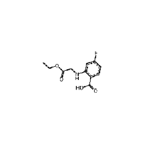 CCOC(=O)CNc1cc(F)ccc1C(=O)O